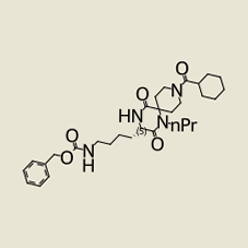 CCCN1C(=O)[C@H](CCCCNC(=O)OCc2ccccc2)NC(=O)C12CCN(C(=O)C1CCCCC1)CC2